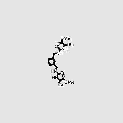 COC(=O)C(NC(=O)NCc1cccc(CNC(=O)NC(C(=O)OC)C(C)(C)C)c1)C(C)(C)C